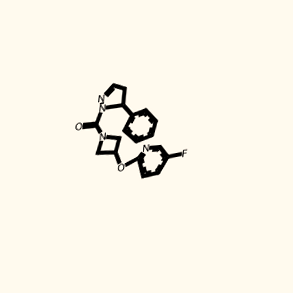 O=C(N1CC(Oc2ccc(F)cn2)C1)N1N=CCC1c1ccccc1